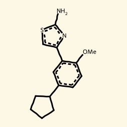 COc1ccc(C2CCCC2)cc1-c1csc(N)n1